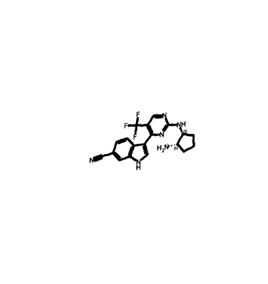 N#Cc1ccc2c(-c3nc(N[C@H]4CCC[C@@H]4N)ncc3C(F)(F)F)c[nH]c2c1